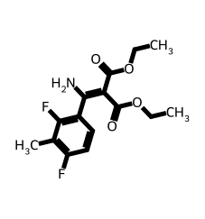 CCOC(=O)C(C(=O)OCC)=C(N)c1ccc(F)c(C)c1F